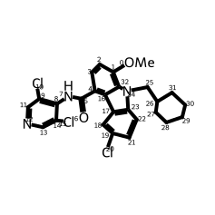 COc1ccc(C(=O)Nc2c(Cl)cncc2Cl)c2c3cc(Cl)ccc3n(CC3CCCCC3)c12